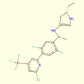 CC[C@H]1CC(NC(C)c2cc(F)c(-c3cc(C(F)(F)F)cc(Cl)n3)cc2F)=CN1